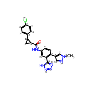 Cn1cc(-c2ccc(NC(=O)C3CC3c3ccc(Cl)cc3)cc2-c2nnn[nH]2)cn1